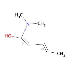 C/C=C/C=C(/O)N(C)C